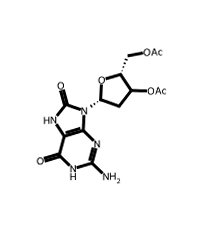 CC(=O)OC[C@H]1O[C@@H](n2c(=O)[nH]c3c(=O)[nH]c(N)nc32)CC1OC(C)=O